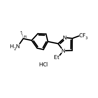 CCn1cc(C(F)(F)F)nc1-c1ccc([C@@H](C)N)cc1.Cl